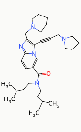 CC(C)CCN(CCC(C)C)C(=O)c1ccc2nc(CN3CCCCC3)c(C#CCN3CCCC3)n2c1